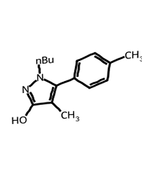 CCCCn1nc(O)c(C)c1-c1ccc(C)cc1